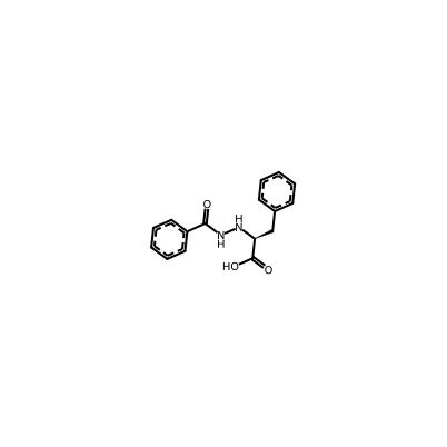 O=C(NN[C@@H](Cc1ccccc1)C(=O)O)c1ccccc1